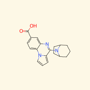 O=C(O)c1ccc2c(c1)nc(N1C3CCCC1CC3)c1cccn12